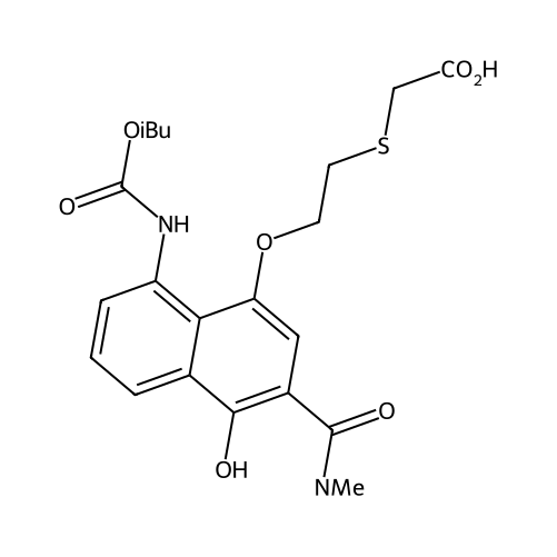 CNC(=O)c1cc(OCCSCC(=O)O)c2c(NC(=O)OCC(C)C)cccc2c1O